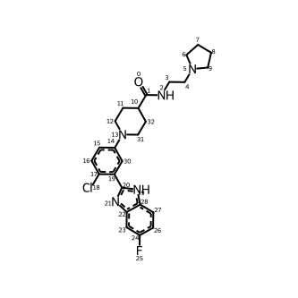 O=C(NCCN1CCCC1)C1CCN(c2ccc(Cl)c(-c3nc4cc(F)ccc4[nH]3)c2)CC1